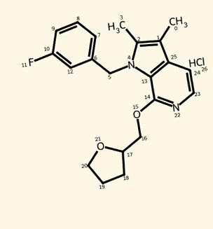 Cc1c(C)n(Cc2cccc(F)c2)c2c(OCC3CCCO3)nccc12.Cl